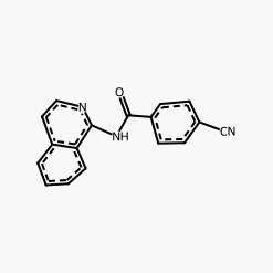 N#Cc1ccc(C(=O)Nc2nccc3ccccc23)cc1